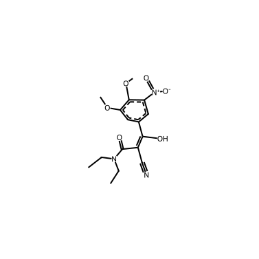 CCN(CC)C(=O)C(C#N)=C(O)c1cc(OC)c(OC)c([N+](=O)[O-])c1